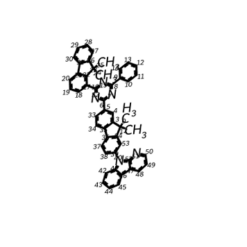 CC1(C)c2cc(-c3nc(-c4ccccc4)nc(-c4cccc5c4C(C)(C)c4ccccc4-5)n3)ccc2-c2ccc(-n3c4ccccc4c4cccnc43)cc21